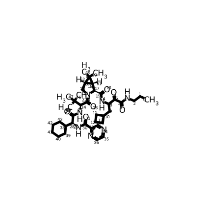 CCCNC(=O)C(=O)C(CC1CCC1)NC(=O)[C@@H]1[C@@H]2[C@H](CN1C(=O)[C@@H](NC(=O)[C@@H](NC(=O)c1cnccn1)C1CCCCC1)C(C)(C)C)C2(C)C